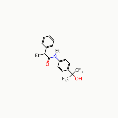 CCC(C(=O)N(CC)c1ccc(C(O)(C(F)(F)F)C(F)(F)F)cc1)c1ccccc1